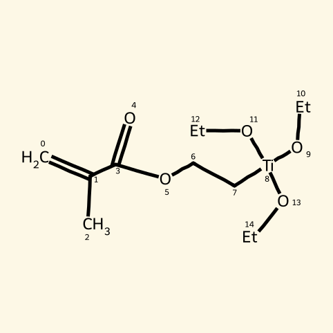 C=C(C)C(=O)OC[CH2][Ti]([O]CC)([O]CC)[O]CC